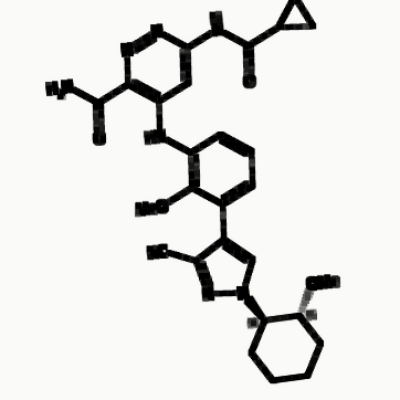 COc1c(Nc2cc(NC(=O)C3CC3)nnc2C(N)=O)cccc1-c1cn([C@@H]2CCCC[C@H]2OC)nc1C#N